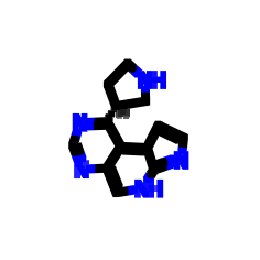 c1cc2c3c([C@@H]4CCNC4)ncnc3c[nH]c-2n1